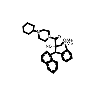 COC[C@](C#N)(C(=O)N1CCN(C2CCCCC2)CC1)C(c1ccccc1OC)c1cccc2ccccc12